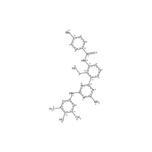 Cc1cc(Nc2nc(N)nc(-c3cccc(NC(=O)c4ccc(C(C)(C)C)cc4)c3CO)n2)cc(C)c1O